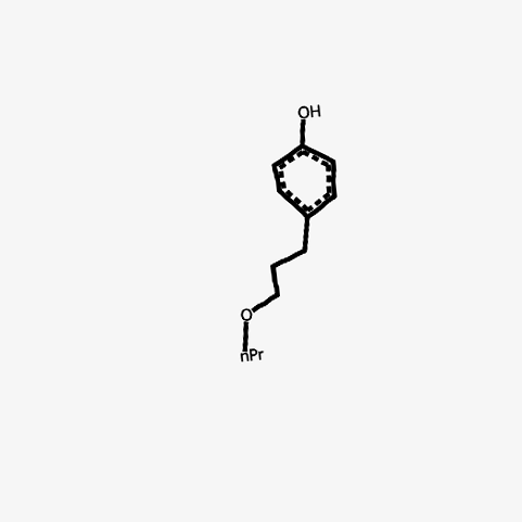 CCCOCCCc1ccc(O)cc1